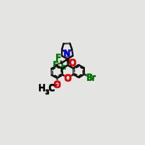 COc1cccc2c1Oc1cc(Br)ccc1C2=C1CC2CCC(C1)N2C(=O)C(F)(F)F